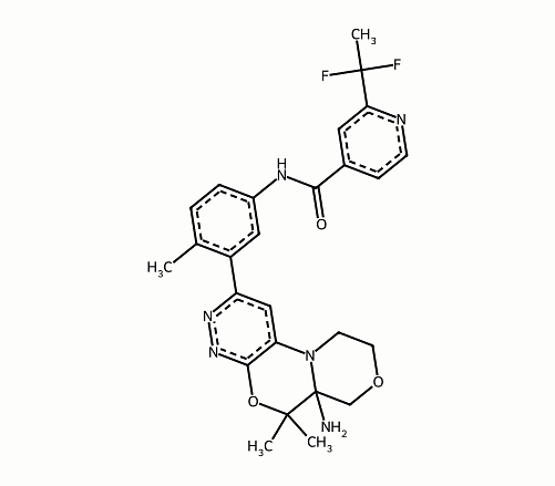 Cc1ccc(NC(=O)c2ccnc(C(C)(F)F)c2)cc1-c1cc2c(nn1)OC(C)(C)C1(N)COCCN21